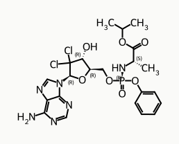 CC(C)OC(=O)[C@H](C)N[P@@](=O)(OC[C@H]1O[C@@H](n2cnc3c(N)ncnc32)C(Cl)(Cl)[C@@H]1O)Oc1ccccc1